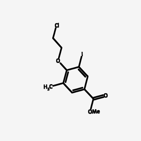 COC(=O)c1cc(C)c(OCCCl)c(I)c1